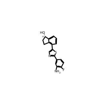 Nc1cc(-c2ncc(-c3cccc4c3CC[C@@H]4O)s2)ccc1F